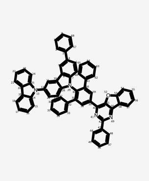 c1ccc(-c2ccc3c(c2)c2cc(-n4c5ccccc5c5ccccc54)ccc2n3-c2c(-c3ccccc3)cc(-c3nc(-c4ccccc4)nc4c3oc3ccccc34)cc2-c2ccccc2)cc1